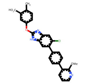 COc1ncccc1-c1ccc(-c2cc3[nH]c(Oc4ccc(C)c(C(=O)O)c4)nc3cc2Cl)cc1